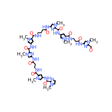 Cn1cc(NC(=O)c2nc(NC(=O)CCNC(=O)c3cc(NC(=O)c4nccn4C)cn3C)cn2C)cc1C(=O)NCCCC(=O)Nc1cn(C)c(C(=O)Nc2cc(C(=O)NCCC(=O)Nc3cn(C)c(C=O)n3)n(C)c2)n1